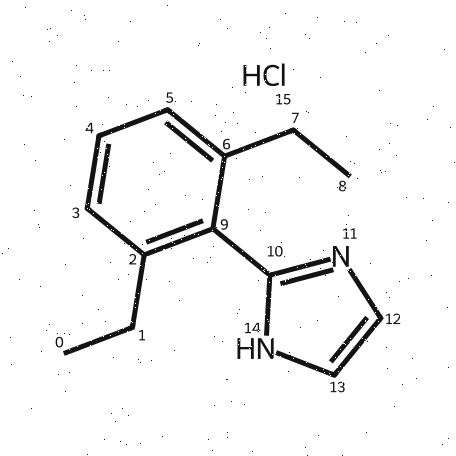 CCc1cccc(CC)c1-c1ncc[nH]1.Cl